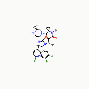 CCN(C(=O)C1=C(C(C)C)N2C(=N[C@@](C)(c3ccc(Cl)nc3)[C@H]2c2ccc(Cl)c(F)c2)S1)C1(C(=O)N2CCNC3(CC3)C2)CC1